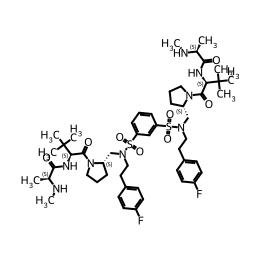 CN[C@@H](C)C(=O)N[C@H](C(=O)N1CCC[C@H]1CN(CCc1ccc(F)cc1)S(=O)(=O)c1cccc(S(=O)(=O)N(CCc2ccc(F)cc2)C[C@@H]2CCCN2C(=O)[C@@H](NC(=O)[C@H](C)NC)C(C)(C)C)c1)C(C)(C)C